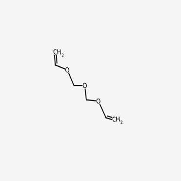 C=COCOCOC=C